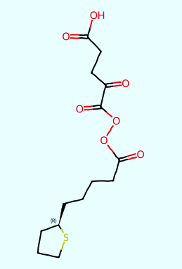 O=C(O)CCC(=O)C(=O)OOC(=O)CCCC[C@@H]1CCCS1